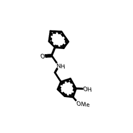 COc1ccc(CNC(=O)c2ccccc2)cc1O